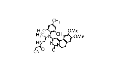 COc1cc2c(cc1OC)-c1cc(N(c3c(C)cc(C)cc3C)C(C)CNC(=O)CC#N)nc(=O)n1CC2